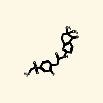 CCS(=O)(=O)c1ccc(CC(=O)Nc2ccc3c(n2)CCC(C)(C)C3=O)c(F)c1